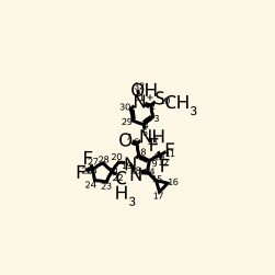 CSc1cc(NC(=O)c2c(C(F)(F)F)c(C3CC3)nn2CC2(C)CCC(F)(F)C2)cc[n+]1O